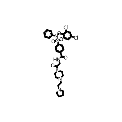 O=C(NCC(=O)N1CCN(CCN2CCCC2)CC1)c1ccc(S(=O)(=O)N(Oc2ccc(Cl)cc2Cl)c2ccccc2)cc1